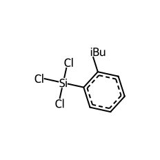 CCC(C)c1ccccc1[Si](Cl)(Cl)Cl